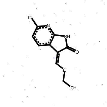 CCO/C=C1\C(=O)Nc2nc(Cl)ccc21